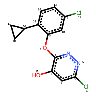 Oc1cc(Cl)nnc1Oc1cc(Cl)ccc1C1CC1